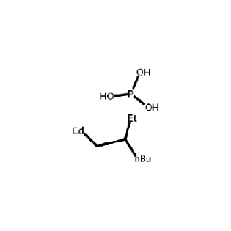 CCCCC(CC)[CH2][Cd].OP(O)O